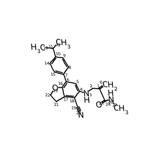 C=C(CNc1cc(-c2ccc(C(C)C)cc2)c2c(c1C#N)CCO2)C(=O)NC